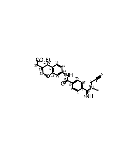 C#CCN(C)C(=N)c1ccc(C(=O)Nc2ccc3c(c2)OCC(CC(=O)OCC)C3)cc1